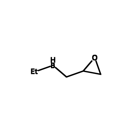 CCBCC1CO1